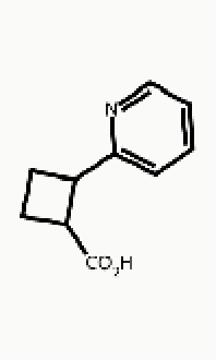 O=C(O)C1CCC1c1ccccn1